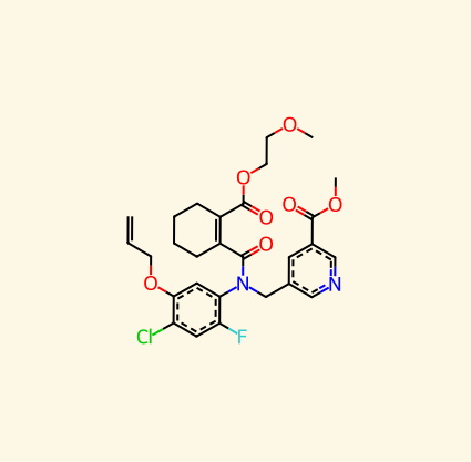 C=CCOc1cc(N(Cc2cncc(C(=O)OC)c2)C(=O)C2=C(C(=O)OCCOC)CCCC2)c(F)cc1Cl